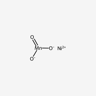 [Ni+2].[O]=[Mn]([O-])[O-]